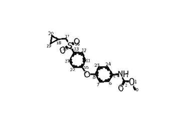 COC(=O)Nc1ccc(Oc2ccc(S(=O)(=O)CC3CC3)cc2)cc1